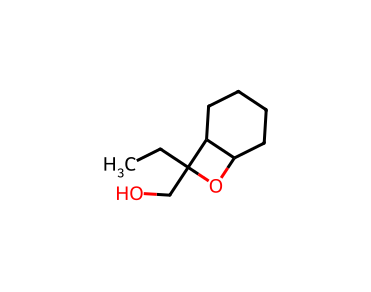 CCC1(CO)OC2CCCCC21